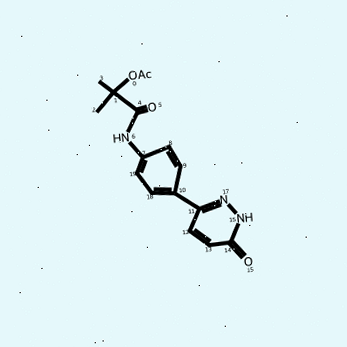 CC(=O)OC(C)(C)C(=O)Nc1ccc(-c2ccc(=O)[nH]n2)cc1